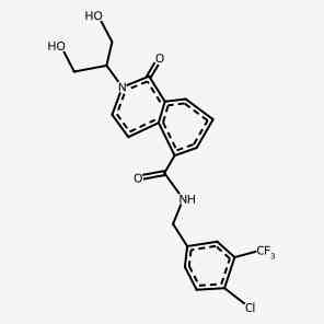 O=C(NCc1ccc(Cl)c(C(F)(F)F)c1)c1cccc2c(=O)n(C(CO)CO)ccc12